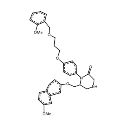 COc1ccc2ccc(OCC3CNCC(=O)N3c3ccc(OCCCOCc4ccccc4OC)cc3)cc2c1